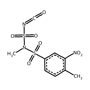 Cc1ccc(S(=O)(=O)N(C)S(=O)(=O)N=C=O)cc1[N+](=O)[O-]